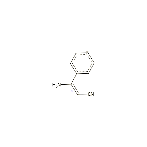 N#C/C=C(/N)c1ccncc1